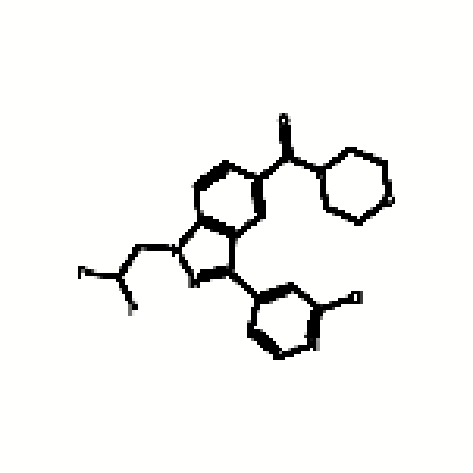 O=C(c1ccc2c(c1)c(-c1ccnc(Cl)c1)nn2CC(F)F)N1CCOCC1